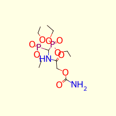 CCOP(=O)(OCC)C(NC(=O)COC(N)=O)P(=O)(OCC)OCC